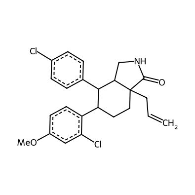 C=CCC12CCC(c3ccc(OC)cc3Cl)C(c3ccc(Cl)cc3)C1CNC2=O